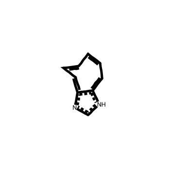 C1=C\C=c2\[nH]cn\c2=C/C=C/1